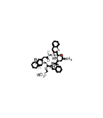 CC(C)(C)NC(=O)CC1C[C@@H]2CCCC[C@@H]2CN1C[C@@H](OCC(=O)O)[C@H](Cc1ccccc1)NC(=O)[C@H](CC(N)=O)NC(=O)c1ccc2ccccc2n1